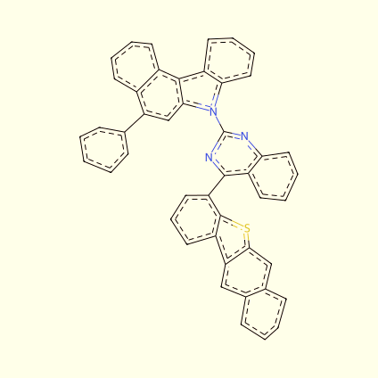 c1ccc(-c2cc3c(c4ccccc24)c2ccccc2n3-c2nc(-c3cccc4c3sc3cc5ccccc5cc34)c3ccccc3n2)cc1